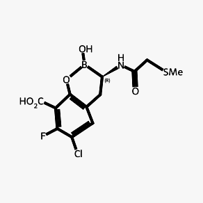 CSCC(=O)N[C@H]1Cc2cc(Cl)c(F)c(C(=O)O)c2OB1O